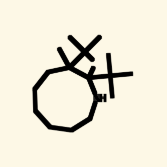 CC(C)(C)C1(C)CCCCCCNC1(C)C(C)(C)C